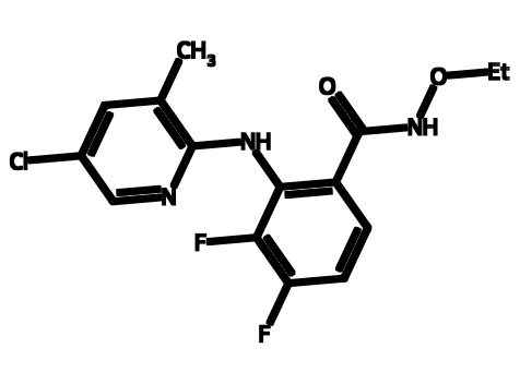 CCONC(=O)c1ccc(F)c(F)c1Nc1ncc(Cl)cc1C